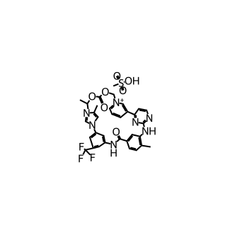 CS(=O)(=O)O.Cc1cn(-c2cc(NC(=O)c3ccc(C)c(Nc4nccc(-c5ccc[n+](COC(=O)OC(C)C)c5)n4)c3)cc(C(F)(F)F)c2)cn1